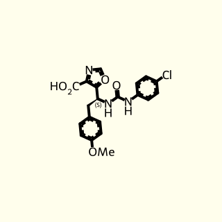 COc1ccc(C[C@H](NC(=O)Nc2ccc(Cl)cc2)c2ocnc2C(=O)O)cc1